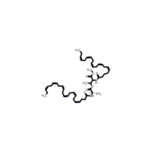 CC/C=C\C/C=C\C/C=C\C/C=C\C/C=C\C/C=C\CCC(=O)N[C@@H](C)C(=O)OC(C)C(NC(=O)CCC/C=C\C/C=C\C/C=C\C/C=C\C/C=C\CC)C(=O)OC